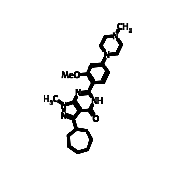 COc1cc(N2CCN(C)CC2)ccc1-c1nc2c(c(C3CCCCCC3)nn2C)c(=O)[nH]1